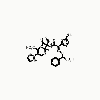 Nc1nc(C(=NOC(C(=O)O)c2ccccc2)C(=O)NC2(C=S)C(=O)N3C(C(=O)O)=C(N4NC=CS4)CS[C@H]32)ns1